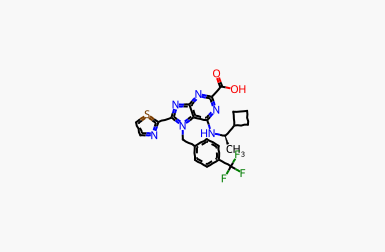 C[C@@H](Nc1nc(C(=O)O)nc2nc(-c3nccs3)n(Cc3ccc(C(F)(F)F)cc3)c12)C1CCC1